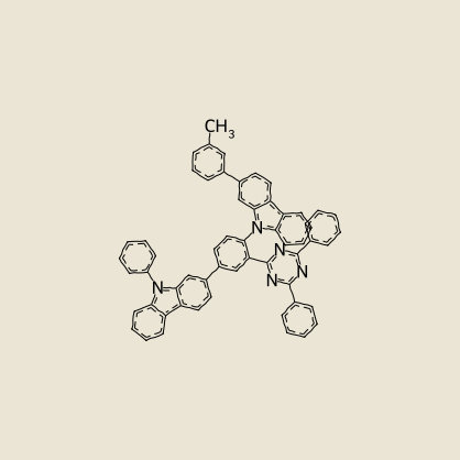 Cc1cccc(-c2ccc3c4ccccc4n(-c4ccc(-c5ccc6c7ccccc7n(-c7ccccc7)c6c5)cc4-c4nc(-c5ccccc5)nc(-c5ccccc5)n4)c3c2)c1